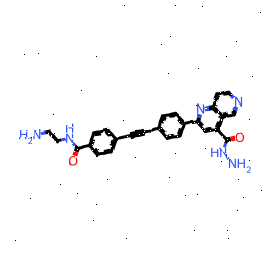 NCCNC(=O)c1ccc(C#Cc2ccc(-c3cc(C(=O)NN)c4cnccc4n3)cc2)cc1